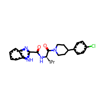 CC(C)[C@@H](NC(=O)c1nc2ccccc2[nH]1)C(=O)N1CCC(c2ccc(Cl)cc2)CC1